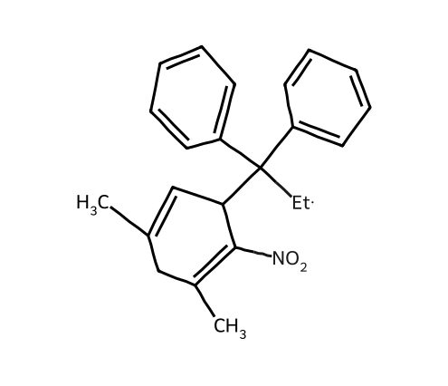 C[CH]C(c1ccccc1)(c1ccccc1)C1C=C(C)CC(C)=C1[N+](=O)[O-]